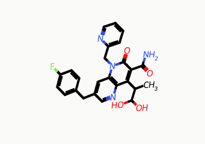 CC(c1c(C(N)=O)c(=O)n(Cc2ccccn2)c2cc(Cc3ccc(F)cc3)cnc12)C(O)O